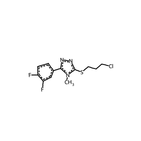 Cn1c(SCCCCl)nnc1-c1ccc(F)c(F)c1